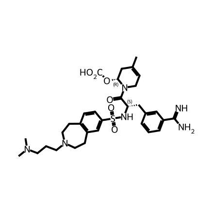 CC1=CCN(C(=O)[C@H](Cc2cccc(C(=N)N)c2)NS(=O)(=O)c2ccc3c(c2)CCN(CCCN(C)C)CC3)[C@H](OC(=O)O)C1